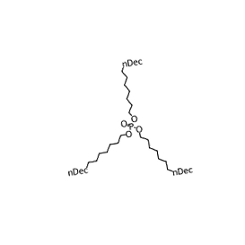 CCCCCCCCCCCCCCCCCOP(=O)(OCCCCCCCCCCCCCCCCC)OCCCCCCCCCCCCCCCCC